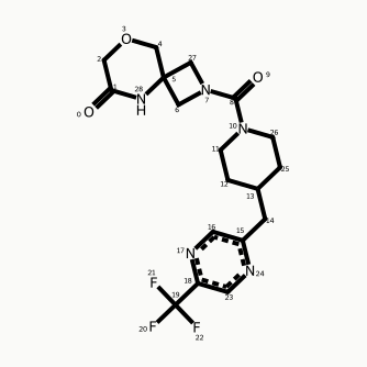 O=C1COCC2(CN(C(=O)N3CCC(Cc4cnc(C(F)(F)F)cn4)CC3)C2)N1